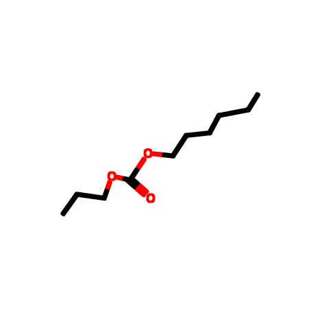 CCCCCCOC(=O)OCCC